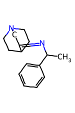 CC(N=C1CN2CCC1CC2)c1ccccc1